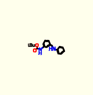 CC(C)(C)OC(=O)Nc1cccc(CNc2ccccc2)c1